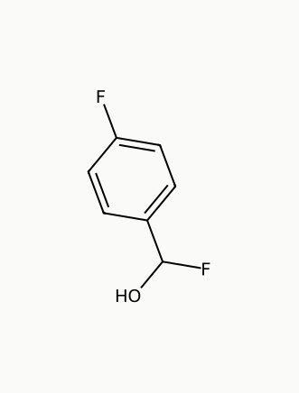 OC(F)c1ccc(F)cc1